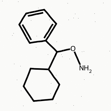 NOC(c1ccccc1)C1CCCCC1